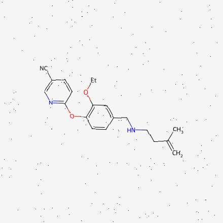 C=C(C)CCNCc1ccc(Oc2ccc(C#N)cn2)c(OCC)c1